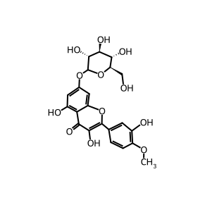 COc1ccc(-c2oc3cc(OC4O[C@H](CO)[C@@H](O)[C@H](O)[C@H]4O)cc(O)c3c(=O)c2O)cc1O